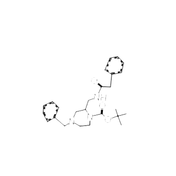 CC(C)(C)OC(=O)N1CCN(Cc2ccccc2)CC1CNC(=O)Cc1ccccc1